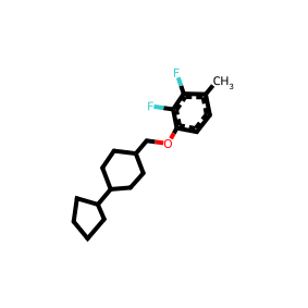 Cc1ccc(OCC2CCC(C3CCCC3)CC2)c(F)c1F